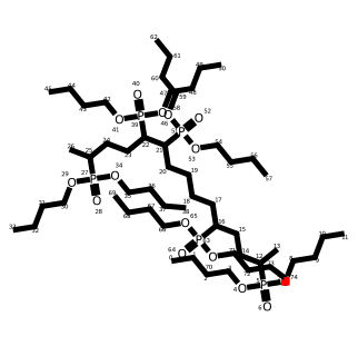 CCCCOP(=O)(OCCCC)C(C)CCC(CCCCC(C(CCC(C)P(=O)(OCCCC)OCCCC)P(=O)(OCCCC)OCCCC)P(=O)(OCCCC)OCCCC)P(=O)(OCCCC)OCCCC